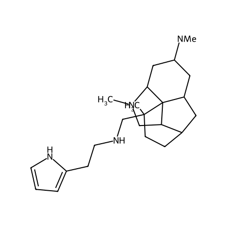 CNC1CC2CC3CCC(C)(CNCCc4ccc[nH]4)C24C3CN(C)C4C1